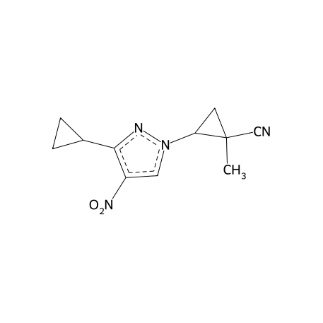 CC1(C#N)CC1n1cc([N+](=O)[O-])c(C2CC2)n1